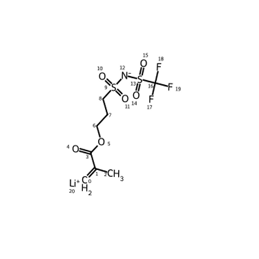 C=C(C)C(=O)OCCCS(=O)(=O)[N-]S(=O)(=O)C(F)(F)F.[Li+]